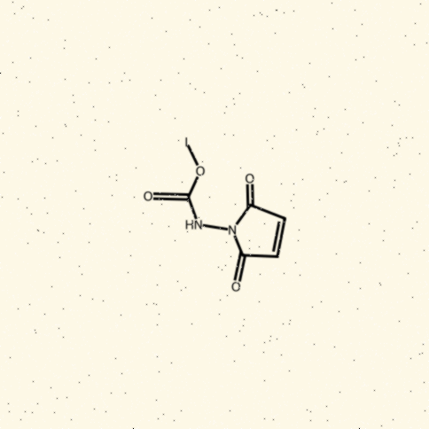 O=C(NN1C(=O)C=CC1=O)OI